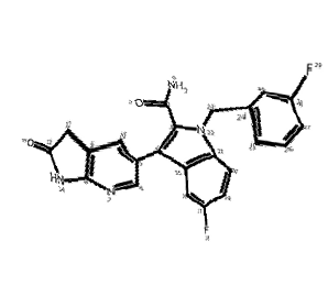 NC(=O)c1c(-c2cnc3c(c2)CC(=O)N3)c2cc(F)ccc2n1Cc1cccc(F)c1